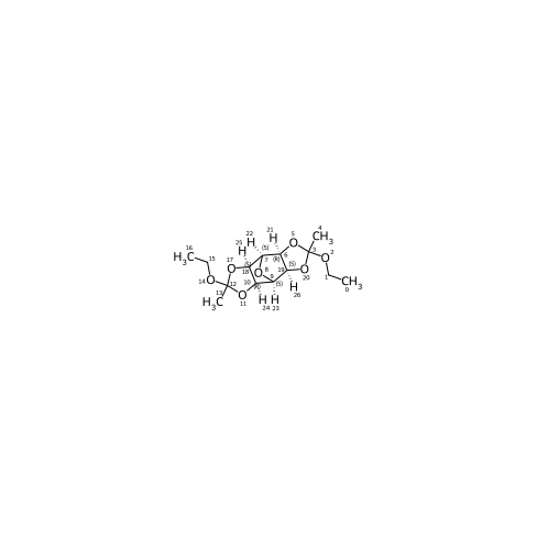 CCOC1(C)O[C@@H]2[C@H]3O[C@H]([C@H]4OC(C)(OCC)O[C@@H]34)[C@@H]2O1